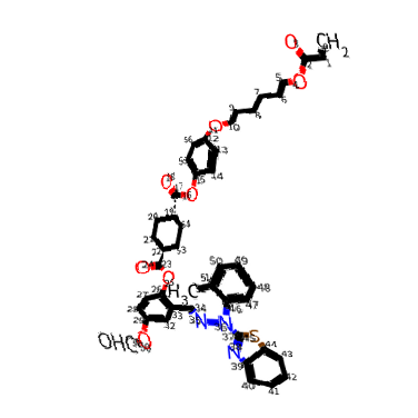 C=CC(=O)OCCCCCCOc1ccc(OC(=O)[C@H]2CC[C@H](C(=O)Oc3ccc(OC=O)cc3/C=N/N(c3nc4ccccc4s3)c3ccccc3C)CC2)cc1